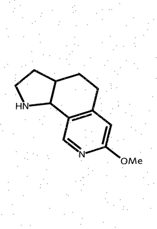 COc1cc2c(cn1)C1NCCC1CC2